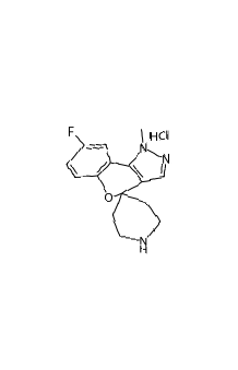 Cl.Cn1ncc2c1-c1cc(F)ccc1OC21CCNCC1